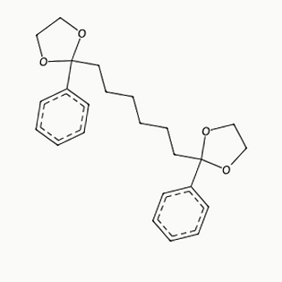 c1ccc(C2(CCCCCCC3(c4ccccc4)OCCO3)OCCO2)cc1